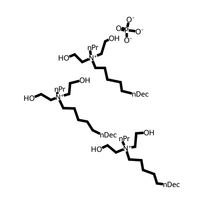 CCCCCCCCCCCCCCC[N+](CCC)(CCO)CCO.CCCCCCCCCCCCCCC[N+](CCC)(CCO)CCO.CCCCCCCCCCCCCCC[N+](CCC)(CCO)CCO.O=P([O-])([O-])[O-]